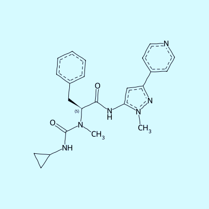 CN(C(=O)NC1CC1)[C@@H](Cc1ccccc1)C(=O)Nc1cc(-c2ccncc2)nn1C